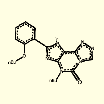 CCCCOc1ccccc1-c1nc2c([nH]1)c1nncn1c(=O)n2CCCC